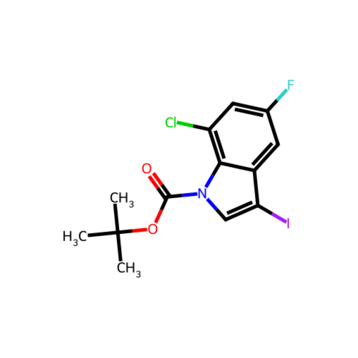 CC(C)(C)OC(=O)n1cc(I)c2cc(F)cc(Cl)c21